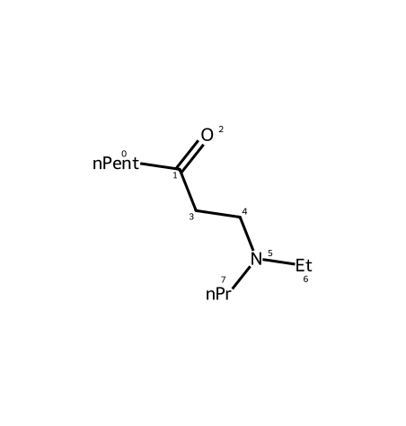 CCCCCC(=O)CCN(CC)CCC